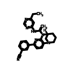 C=C(Nc1cc(CC)ncn1)N1c2nc(-c3cccc(C#N)c3)ccc2N2CCC[C@@H]1C2